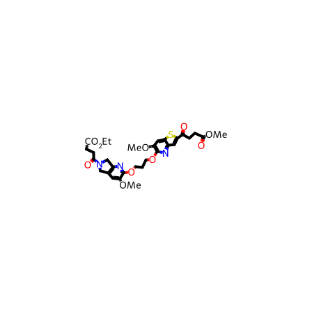 CCOC(=O)CCC(=O)N1Cc2cc(OC)c(OCCCOc3nc4cc(C(=O)CCC(=O)OC)sc4cc3OC)nc2C1